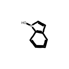 On1ccc2c1C=C=C=C2